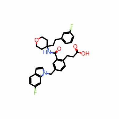 O=C(O)CCc1ccc(Cn2ccc3ccc(F)cc32)cc1C(=O)NC1(CCc2cccc(F)c2)CCOCC1